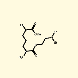 CCC(CCCC(C)C(=O)OCCN(CC)CC)C(=O)OCC(C)C